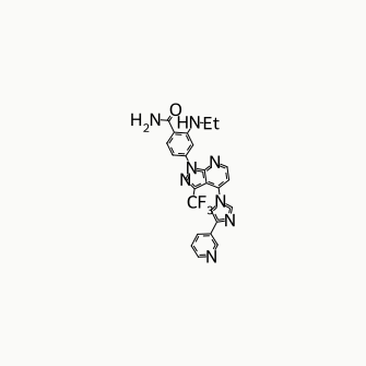 CCNc1cc(-n2nc(C(F)(F)F)c3c(-n4cnc(-c5cccnc5)c4)ccnc32)ccc1C(N)=O